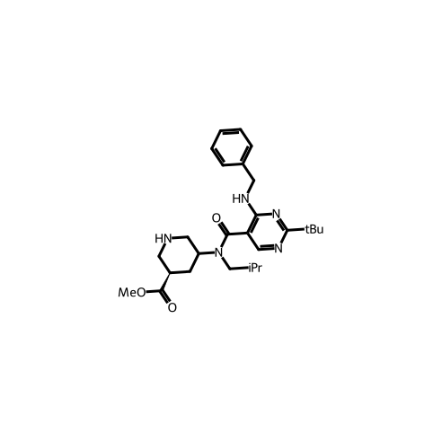 COC(=O)[C@H]1CNCC(N(CC(C)C)C(=O)c2cnc(C(C)(C)C)nc2NCc2ccccc2)C1